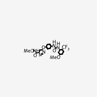 CONC(=O)c1cc(Oc2ccc(NC(=O)Nc3cc(OC)ccc3C(F)(F)F)cc2)ncn1